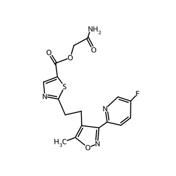 Cc1onc(-c2ccc(F)cn2)c1CCc1ncc(C(=O)OCC(N)=O)s1